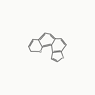 C1=Cc2ccc3ccc4sccc4c3c2OC1